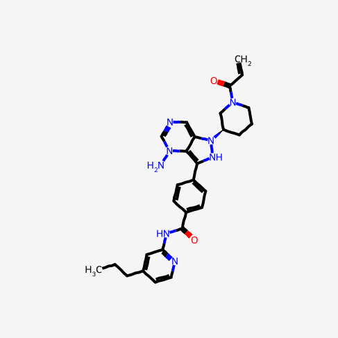 C=CC(=O)N1CCC[C@@H](N2NC(c3ccc(C(=O)Nc4cc(CCC)ccn4)cc3)=C3C2=CN=CN3N)C1